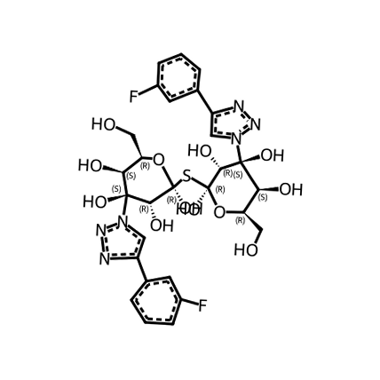 OC[C@H]1O[C@@](O)(S[C@]2(O)O[C@H](CO)[C@H](O)[C@@](O)(n3cc(-c4cccc(F)c4)nn3)[C@H]2O)[C@H](O)[C@](O)(n2cc(-c3cccc(F)c3)nn2)[C@H]1O